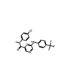 CN(C(=O)c1cncc(Nc2ccc(C(F)(F)F)cc2)n1)c1ccc(Cl)cc1